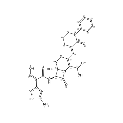 Nc1nc(/C(=N/O)C(=O)N[C@@H]2C(=O)N3C(C(=O)O)=C(C=C4CCCN(c5ccccc5)C4=O)CS[C@H]23)cs1